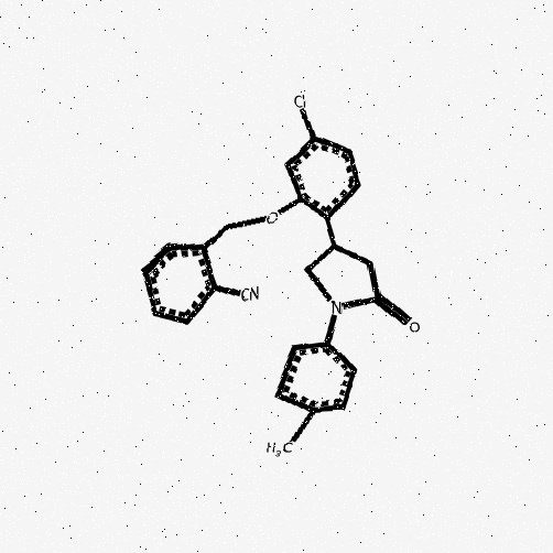 Cc1ccc(N2CC(c3ccc(Cl)cc3OCc3ccccc3C#N)CC2=O)cc1